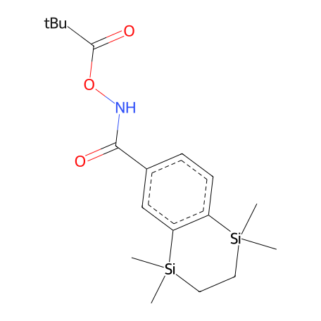 CC(C)(C)C(=O)ONC(=O)c1ccc2c(c1)[Si](C)(C)CC[Si]2(C)C